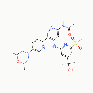 CC(=O)Nc1cc(Nc2cc(C(C)(C)O)cc(S(C)(=O)=O)n2)c(-c2ccc(N3CC(C)OC(C)C3)cn2)cn1